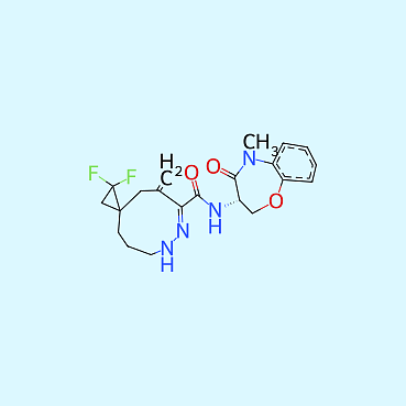 C=C1CC2(CCCN/N=C\1C(=O)N[C@H]1COc3ccccc3N(C)C1=O)CC2(F)F